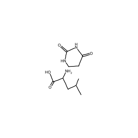 CC(C)CC(N)C(=O)O.O=C1CCNC(=O)N1